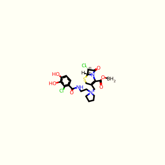 BOC(=O)C1=C(C[N+]2(CCNC(=O)c3ccc(O)c(O)c3Cl)CCCC2)CS[C@@H]2[C@H](Cl)C(=O)N12